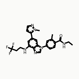 CCNC(=O)c1ccc(-n2cnc3c(NCCC(F)(F)F)cc(-c4ccnn4C)cc32)cc1C